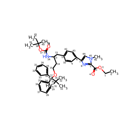 CCOC(=O)c1nc(-c2ccc(CC(CCO[Si](c3ccccc3)(c3ccccc3)C(C)(C)C)NC(=O)OC(C)(C)C)cc2)cn1C